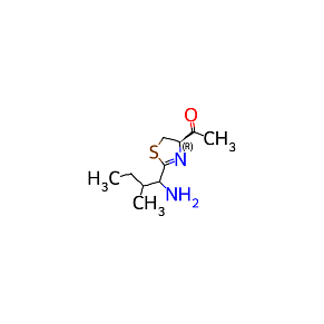 CCC(C)C(N)C1=N[C@H](C(C)=O)CS1